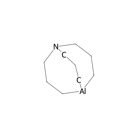 C1CN2CC[CH2][Al]([CH2]1)[CH2]CC2